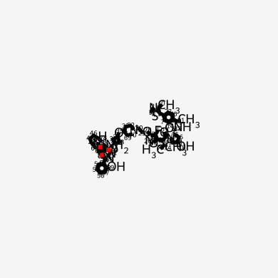 Cc1ncsc1-c1ccc([C@H](C)NC(=O)[C@@H]2C[C@@H](O)CN2C(=O)[C@H](c2onc(OCCN3CCC(OC4CC(Oc5cc(N6C7CC[C@@H]6CN(c6cc(-c8ccccc8O)nnc6N)C7)ccn5)C4)CC3)c2F)C(C)C)cc1